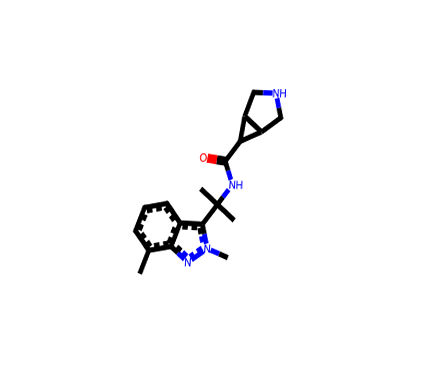 Cc1cccc2c(C(C)(C)NC(=O)C3C4CNCC43)n(C)nc12